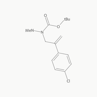 C=C(CN(NC)C(=O)OC(C)(C)C)c1ccc(Cl)cc1